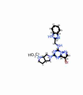 O=C(O)N1CCC2CN(c3nc(NCc4nc5ccccc5[nH]4)n4ncc(Br)c4n3)CC21